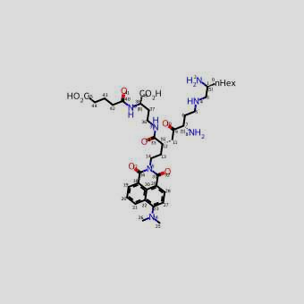 CCCCCC[C@H](N)CNCC[C@H](N)C(=O)C[C@H](CCN1C(=O)c2cccc3c(N(C)C)ccc(c23)C1=O)C(=O)NCC[C@@H](NC(=O)CCCC(=O)O)C(=O)O